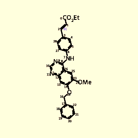 CCOC(=O)/C=C/c1ccc(Nc2ncnc3cc(OCc4ccccc4)c(OC)cc23)cc1